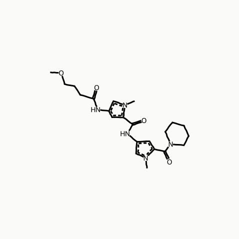 COCCCC(=O)Nc1cc(C(=O)Nc2cc(C(=O)N3CCCCC3)n(C)c2)n(C)c1